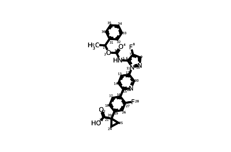 CC(OC(=O)Nc1c(F)cnn1-c1ccc(-c2ccc(C3(C(=O)O)CC3)cc2F)nc1)c1ccccc1